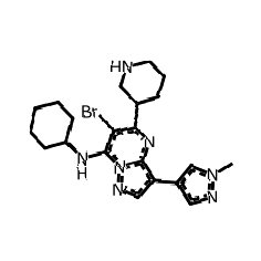 Cn1cc(-c2cnn3c(NC4CCCCC4)c(Br)c(C4CCCNC4)nc23)cn1